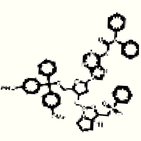 COc1ccc(C(OC[C@H]2O[C@@H](n3cnc4c(OC(=O)N(c5ccccc5)c5ccccc5)ncnc43)C[C@@H]2O[P@@]2O[C@@H](CS(=O)(=O)c3ccccc3)[C@H]3CCCN32)(c2ccccc2)c2ccc(OC)cc2)cc1